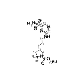 CC(C)(C)OC(=O)N1CC(CCCNc2cncc(S(N)(=O)=O)n2)CC1(C)C